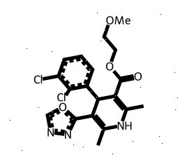 COCCOC(=O)C1=C(C)NC(C)=C(c2nnco2)C1c1cccc(Cl)c1Cl